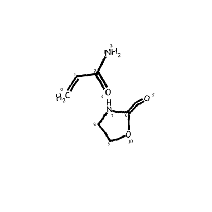 C=CC(N)=O.O=C1NCCO1